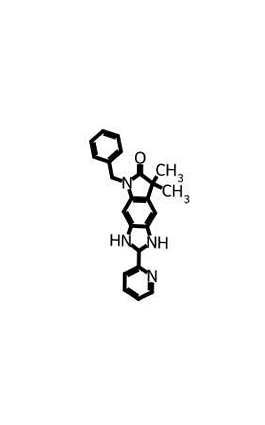 CC1(C)C(=O)N(Cc2ccccc2)c2cc3c(cc21)NC(c1ccccn1)N3